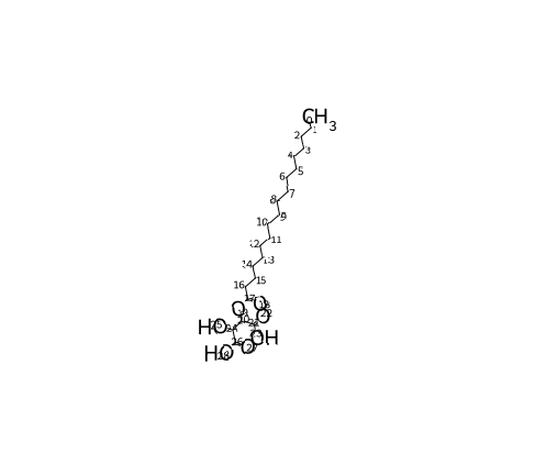 CCCCCCCCCCCCCCCCCC(=O)OC(C(=O)O)C(O)C(=O)O